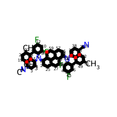 [C-]#[N+]c1ccc(N(c2c(F)cc(F)cc2-c2cc(C)ccc2C)c2ccc3ccc4c(N(c5ccc(C#N)cc5)c5c(F)cc(F)cc5-c5cc(C)ccc5C)ccc5ccc2c3c54)cc1